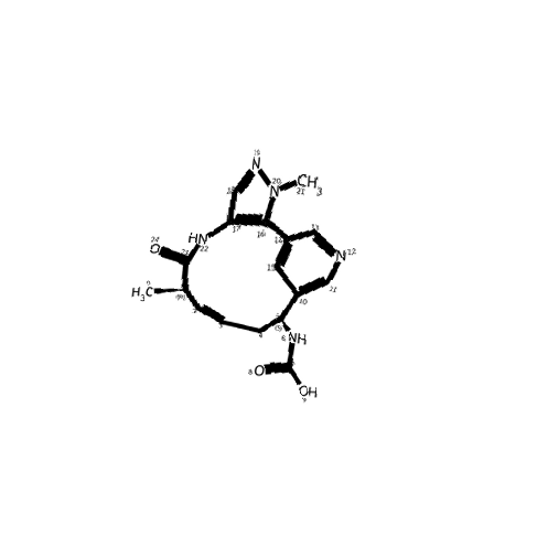 C[C@@H]1C=CC[C@H](NC(=O)O)c2cncc(c2)-c2c(cnn2C)NC1=O